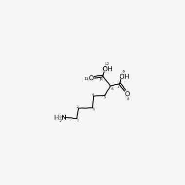 NCCCCCC(C(=O)O)C(=O)O